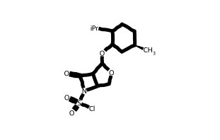 CC(C)C1CC[C@@H](C)CC1OC1OCC2C1C(=O)N2S(=O)(=O)Cl